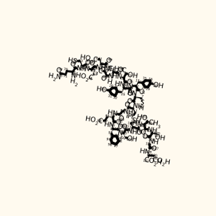 CC(C)C[C@H](NC(=O)[C@H](CS)NC(=O)[C@H](Cc1ccc(O)cc1)NC(=O)[C@H](Cc1ccc(O)cc1)NC(=O)[C@@H](NC(=O)[C@H](C)NC(=O)[C@H](C)NC(=O)[C@H](CC(=O)O)NC(=O)[C@H](CC(=O)O)NC(=O)[C@H](CS)NC(=O)[C@@H](N)CCC(N)=O)[C@@H](C)O)C(=O)NCC(=O)N[C@@H](CCC(=O)O)C(=O)N[C@@H](Cc1ccccc1)C(=O)N[C@@H](CO)C(=O)N[C@@H](CS)C(=O)N[C@H](C(=O)N[C@@H](CO)C(=O)NCC(=O)N[C@@H](CC(=O)O)C(=O)O)[C@@H](C)O